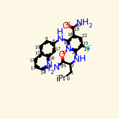 CC(C)CC(Nc1nc(Nc2ccc3cccnc3c2)c(C(N)=O)cc1F)C(N)=O